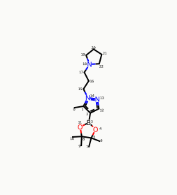 Cc1c(B2OC(C)(C)C(C)(C)O2)cnn1CCCN1CCCC1